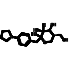 OC[C@@H]1CO[C@](O)(Cc2ccc(N3CCCC3)cc2)[C@](O)(Cl)[C@H]1O